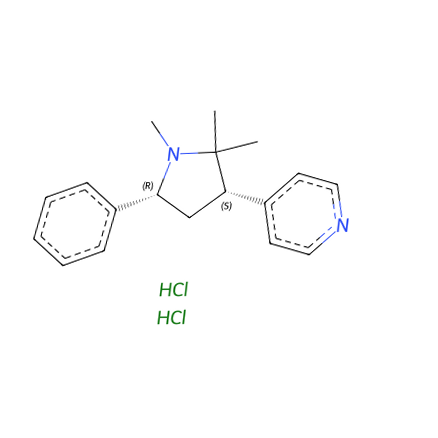 CN1[C@@H](c2ccccc2)C[C@@H](c2ccncc2)C1(C)C.Cl.Cl